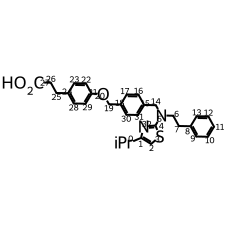 CC(C)c1csc(N(CCc2ccccc2)Cc2ccc(COc3ccc(CCC(=O)O)cc3)cc2)n1